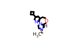 CSN1CCN2c3ncc(C4CCC4)cc3CCOC[C@@H]2C1